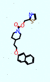 O=C(OCc1nccs1)N1CCC(CCOc2ccc3ccccc3c2)CC1